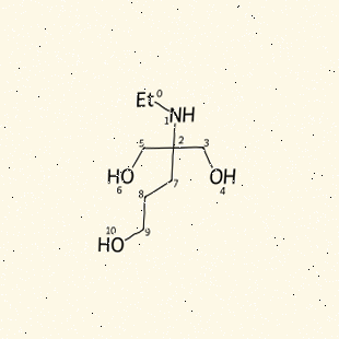 CCNC(CO)(CO)CCCO